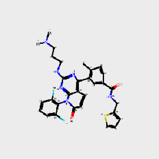 CCN(CC)CCCNc1nc(-c2cc(C(=O)NCc3cccs3)ccc2C)c2ccc(=O)n(-c3c(F)cccc3F)c2n1